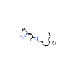 C=CCC(/C=C\CC/N=C(C)/C=C(\N)C(C)C)CC